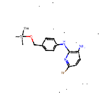 CC(C)(C)[Si](C)(C)OCc1ccc(Nc2nc(Br)ccc2N)cc1